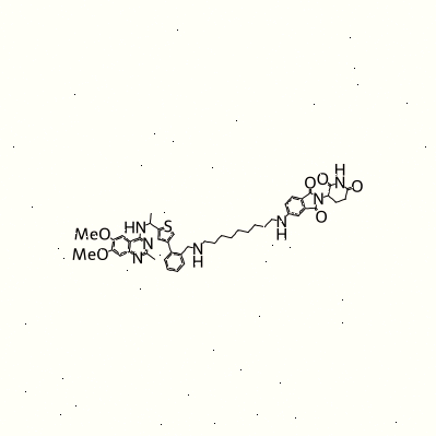 COc1cc2nc(C)nc(NC(C)c3cc(-c4ccccc4CNCCCCCCCCCNc4ccc5c(c4)C(=O)N(C4CCC(=O)NC4=O)C5=O)cs3)c2cc1OC